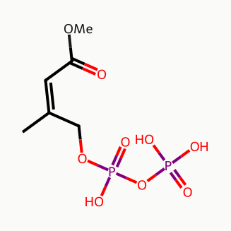 COC(=O)C=C(C)COP(=O)(O)OP(=O)(O)O